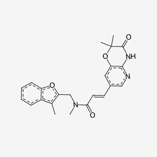 Cc1c(CN(C)C(=O)C=Cc2cnc3c(c2)OC(C)(C)C(=O)N3)oc2ccccc12